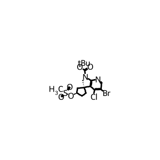 CC(C)(C)OC(=O)N1C[C@@]2(CC[C@@H](OS(C)(=O)=O)C2)c2c1ncc(Br)c2Cl